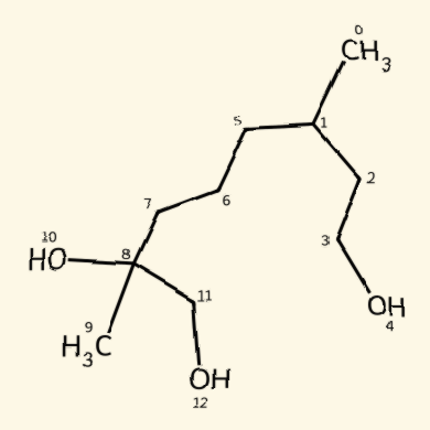 CC(CCO)CCCC(C)(O)CO